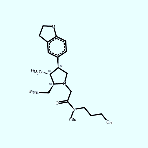 CCCCN(CCCO)C(=O)CN1C[C@H](c2ccc3c(c2)CCO3)[C@@H](C(=O)O)[C@@H]1CC(C)CCC